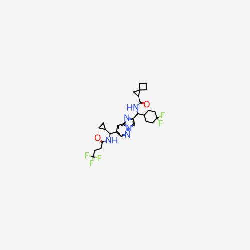 O=C(CCC(F)(F)F)NC(c1cnn2cc([C@@H](NC(=O)[C@H]3CC34CCC4)C3CCC(F)(F)CC3)nc2c1)C1CC1